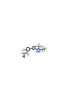 Cn1nc(C(F)(F)C(F)(F)F)c(C(F)(F)F)c1-n1cc(-c2ccc(Cl)c(C(=O)NC3CC3)c2)cn1